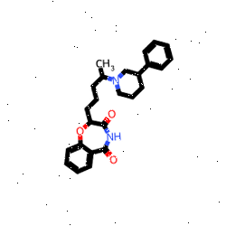 CC(CCCC1Oc2ccccc2C(=O)NC1=O)N1CCCC(c2ccccc2)C1